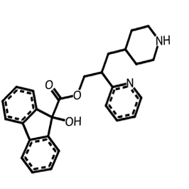 O=C(OCC(CC1CCNCC1)c1ccccn1)C1(O)c2ccccc2-c2ccccc21